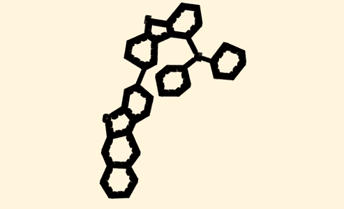 c1ccc(N(c2ccccc2)c2cccc3sc4ccc(-c5ccc6c(c5)oc5cc7ccccc7cc56)cc4c23)cc1